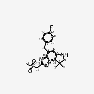 CC1(C)CNc2cc(Cc3ccc(F)cc3)c3nc(CS(C)(=O)=O)nn3c21